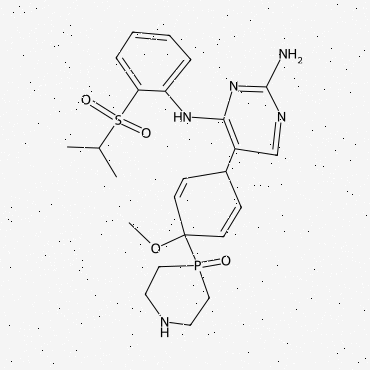 COC1(P2(=O)CCNCC2)C=CC(c2cnc(N)nc2Nc2ccccc2S(=O)(=O)C(C)C)C=C1